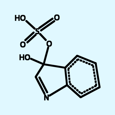 O=S(=O)(O)OC1(O)C=Nc2ccccc21